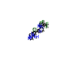 Cn1nccc1Nc1cc(-c2cc3n(c2)CCCn2c-3nnc2C2(C(F)F)CC(F)(F)C2)c(Cl)cn1